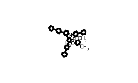 Cc1cc(C)c(B2c3cc(-c4ccccc4)ccc3-n3c4ccc(-c5ccc(-c6ccccc6)cc5)cc4c4cc(-c5ccc(-c6ccccc6)cc5)cc2c43)c(C)c1